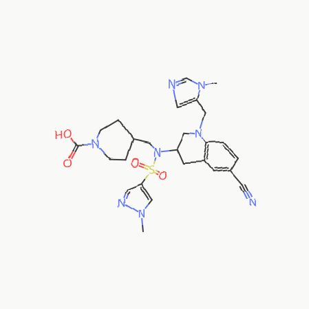 Cn1cc(S(=O)(=O)N(CC2CCN(C(=O)O)CC2)C2Cc3cc(C#N)ccc3N(Cc3cncn3C)C2)cn1